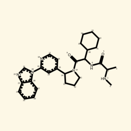 CNC(C)C(=O)NC(C(=O)N1CCCC1c1ccnc(-n2cnc3ccccc32)c1)C1CCCCC1